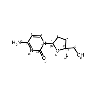 Nc1ccn([C@H]2CC[C@@](F)(CO)O2)c(=O)n1